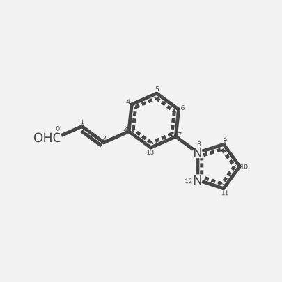 O=CC=Cc1cccc(-n2cccn2)c1